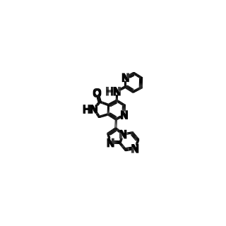 O=C1NCc2c(-c3cnc4cnccn34)ncc(Nc3ccccn3)c21